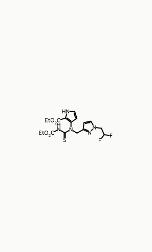 CCOC(=O)NC(=S)N(Cc1ccn(CC(F)F)n1)c1cc[nH]c1C(=O)OCC